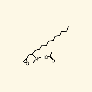 CC(=O)O.CCCCCCCCCCCC(CC1CO1)N(C)C